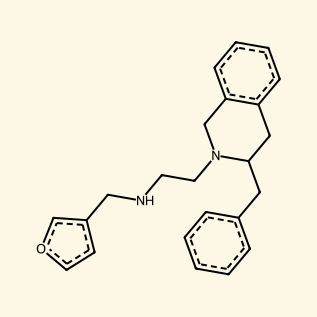 c1ccc(CC2Cc3ccccc3CN2CCNCc2ccoc2)cc1